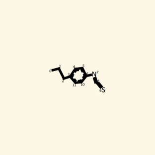 CCCc1ccc(N=C=S)cc1